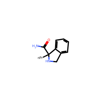 CCCC1(C(N)=O)NCc2ccccc21